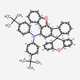 CC(C)(C)c1ccc(N(c2ccc(C(C)(C)C)cc2)c2cc3c(c4oc5ccccc5c24)-c2ccccc2C32c3ccccc3Oc3ccccc32)cc1